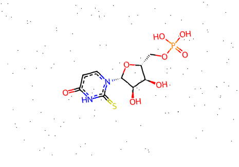 O=c1ccn([C@@H]2O[C@H](COP(=O)(O)O)[C@@H](O)[C@H]2O)c(=S)[nH]1